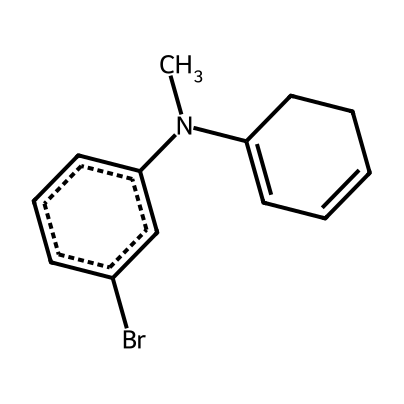 CN(C1=CC=CCC1)c1cccc(Br)c1